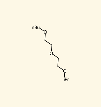 CCCCOCCOCCOC(C)C